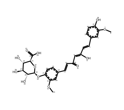 COc1cc(/C=C/C(O)=C/C(=O)/C=C/c2ccc(O[C@@H]3O[C@H](C(=O)O)[C@@H](O)[C@H](O)[C@H]3O)c(OC)c2)ccc1O